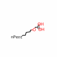 CCCCCCCCCCOCB(O)O